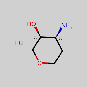 Cl.N[C@H]1CCOC[C@H]1O